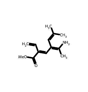 C=C/C(=C\C(C=C(C)C)=C(/C)N)C(=O)OC